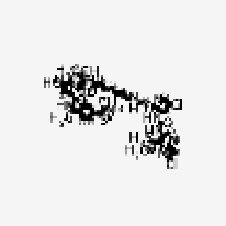 CO[C@@H](C)c1c(NC(=O)Nc2cc(Cl)cnc2OCCNCCCCCCC(=O)N[C@H](C(=O)N2C[C@H](O)C[C@H]2C(=O)N[C@@H](C)c2ccc(-c3scnc3C)cc2)C(C)(C)C)cnc2cc(Cl)nn12